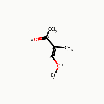 CCO/C=C(\C)C(=O)C(Cl)(Cl)Cl